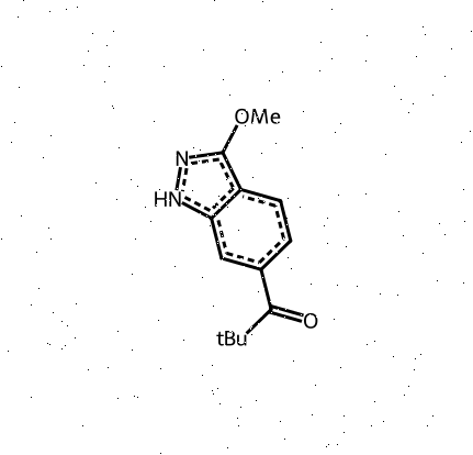 COc1n[nH]c2cc(C(=O)C(C)(C)C)ccc12